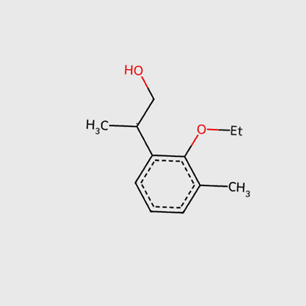 CCOc1c(C)cccc1[C](C)CO